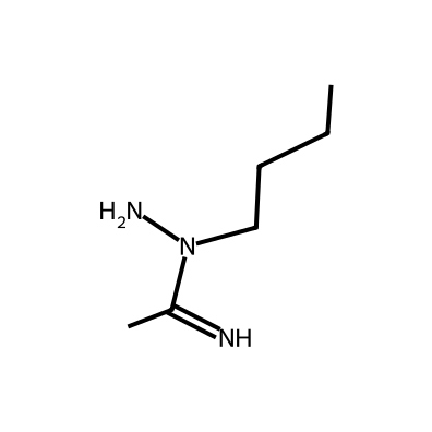 CCCCN(N)C(C)=N